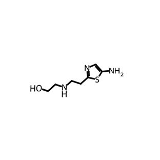 Nc1cnc(CCNCCO)s1